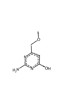 COCc1cc(O)nc(N)n1